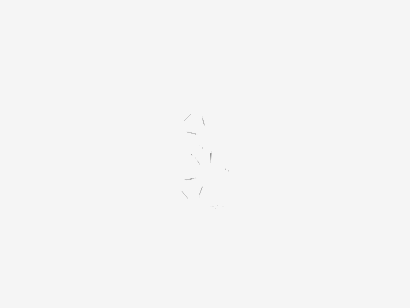 COc1cccc(-c2nn(-c3ccc(C(=O)O)cc3)cc2C#N)c1